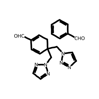 O=CC1=CCC(Cn2ccnn2)(Cn2nccn2)C=C1.O=Cc1ccccc1